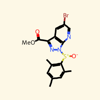 COC(=O)c1nn([S+]([O-])c2c(C)cc(C)cc2C)c2ncc(Br)cc12